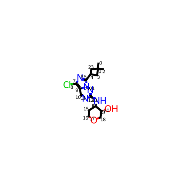 CC1(C)CC(c2nc(Cl)c3cnc(N[C@@H]4CCOC[C@H]4O)nn23)C1